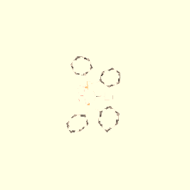 CCC(P(=O)(c1ccccc1)c1ccccc1)P(=O)(c1ccccc1)c1ccccc1